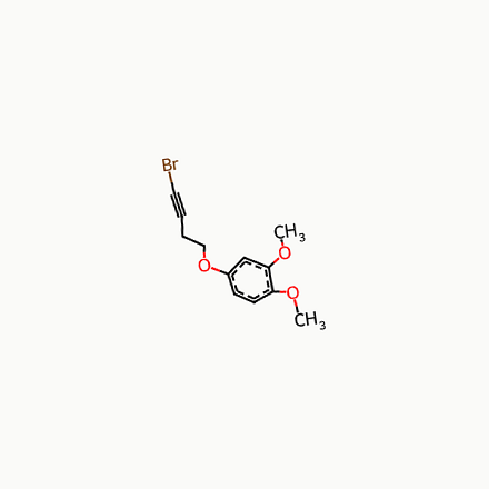 COc1ccc(OCCC#CBr)cc1OC